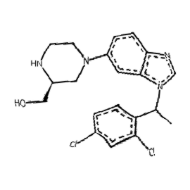 CC(c1ccc(Cl)cc1Cl)n1cnc2ccc(N3CCN[C@H](CO)C3)cc21